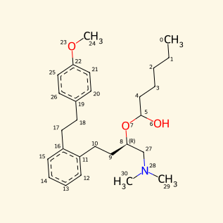 CCCCCC(O)O[C@H](CCc1ccccc1CCc1ccc(OC)cc1)CN(C)C